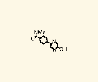 CNC(=O)c1ccc(-c2cnc(O)cn2)cc1